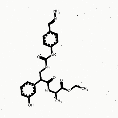 CCOC(=O)C(C)NC(=O)C(CNC(=O)Nc1ccc(C=NN)cc1)c1cccc(O)c1